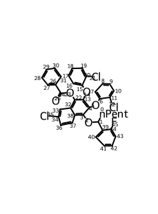 CCCCCC(Oc1c(Oc2ccccc2Cl)c(Oc2ccccc2Cl)c(OC(=O)c2ccccc2)c2cc(Cl)ccc12)c1ccccc1F